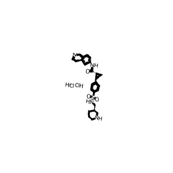 Cl.Cl.O=C(Nc1ccc2cnccc2c1)[C@@H]1C[C@H]1c1ccc(S(=O)(=O)NC[C@@H]2CCCNC2)cc1